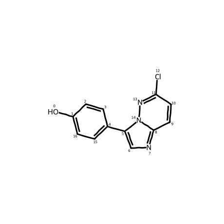 Oc1ccc(-c2cnc3ccc(Cl)nn23)cc1